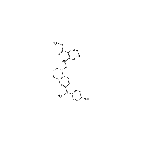 COC(=O)c1ccncc1NC[C@@H]1CCCc2cc(N(C)c3ccc(O)cc3)ccc21